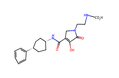 O=C(O)NCCN1CC(C(=O)N[C@H]2CC[C@@H](c3ccccc3)CC2)=C(O)C1=O